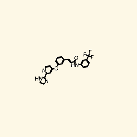 O=C(/C=C/c1cccc(Oc2ccnc(C3=NCCN3)c2)c1)Nc1cccc(C(F)(F)F)c1